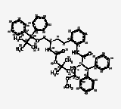 COC(=O)N[C@H](C(=O)Nc1ccccc1CC[C@@H](CO[Si](c1ccccc1)(c1ccccc1)C(C)(C)C)NC(=O)OC(C)(C)C)C(c1ccccc1)c1ccccc1